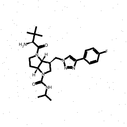 CC(C)NC(=O)N1C[C@H](Cn2cc(-c3ccc(F)cc3)nn2)[C@@H]2[C@H]1CCN2C(=O)[C@@H](N)C(C)(C)C